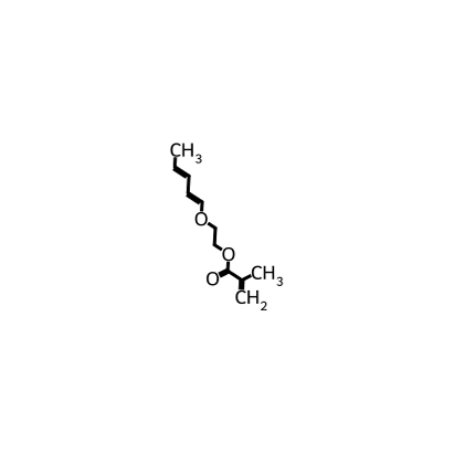 C=C(C)C(=O)OCCOC=CC=CC